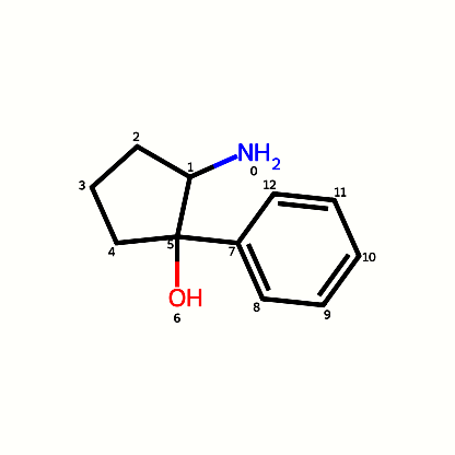 NC1CCCC1(O)c1ccccc1